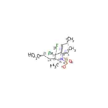 C=C/C=C1\C(=C/C)N([SH](=O)=O)[C@H](C)C(CCC(=O)O)C1(F)F